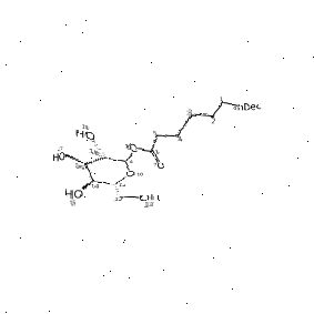 CCCCCCCCCCCCCCCC(=O)OC1O[C@H](CO)[C@@H](O)[C@@H](O)[C@@H]1O